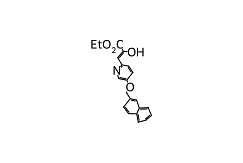 CCOC(=O)/C(O)=C/c1ccc(OCc2ccc3ccccc3c2)cn1